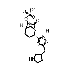 O=C1N2C[C@@H](CC[C@H]2c2nnc(CC3CCNC3)o2)N1OS(=O)(=O)[O-].[H+]